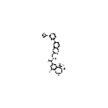 O=C(NCc1cc2nc(-c3ccnc(C45CC(C4)C5)n3)ccc2cn1)c1cc(F)c2c(c1)S(=O)(=O)[C@@H](F)COC2